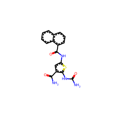 NC(=O)Nc1sc(NC(=O)c2cccc3ccccc23)cc1C(N)=O